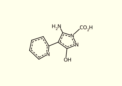 Nc1c(-c2ccccn2)c(O)nn1C(=O)O